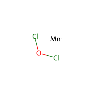 ClOCl.[Mn]